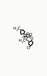 Cc1ccc(S(=O)(=O)N2[C@H](C)c3cc(Cl)ccc3O[P@]2Cl)cc1